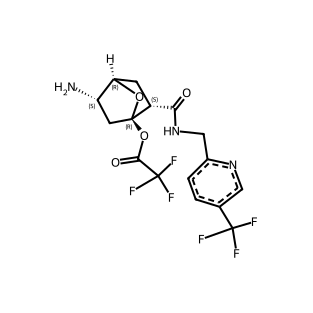 N[C@H]1C[C@]2(OC(=O)C(F)(F)F)O[C@@H]1C[C@@H]2C(=O)NCc1ccc(C(F)(F)F)cn1